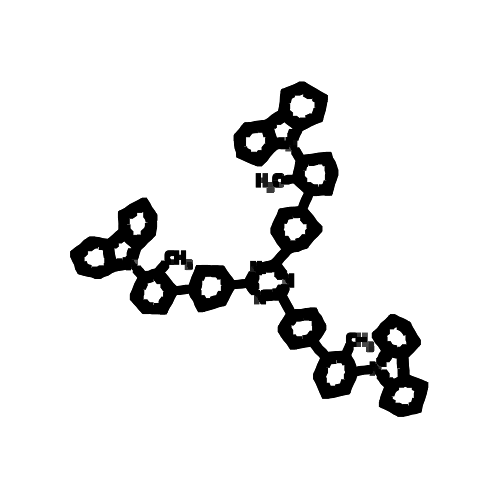 Cc1c(-c2ccc(-c3nc(-c4ccc(-c5cccc(-n6c7ccccc7c7ccccc76)c5C)cc4)nc(-c4ccc(-c5cccc(-n6c7ccccc7c7ccccc76)c5C)cc4)n3)cc2)cccc1-n1c2ccccc2c2ccccc21